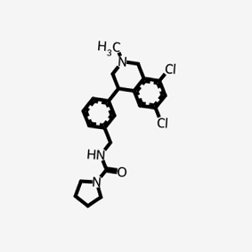 CN1Cc2c(Cl)cc(Cl)cc2C(c2cccc(CNC(=O)N3CCCC3)c2)C1